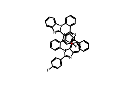 Fc1ccc(-c2nc3ccccc3n2-c2ccccc2-c2nc(-c3ccccc3)nc(-c3ccccc3-n3c(-c4ccc(F)cc4)nc4ccccc43)n2)cc1